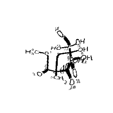 COC(=O)C(C)(CC(O)(P(=O)(O)O)P(=O)(O)O)C(=O)O